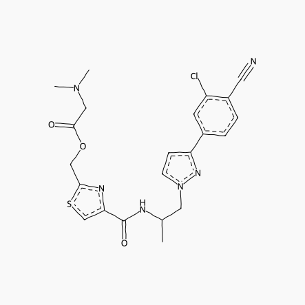 CC(Cn1ccc(-c2ccc(C#N)c(Cl)c2)n1)NC(=O)c1csc(COC(=O)CN(C)C)n1